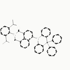 CC(C)c1cccc(C(C)C)c1N1C(=O)c2cccc3c(N4c5ccccc5C(c5ccccc5)(c5ccccc5)c5ccccc54)ccc(c23)C1=O